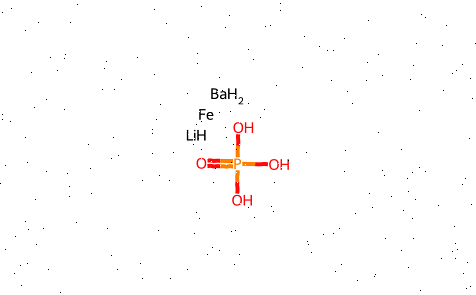 O=P(O)(O)O.[BaH2].[Fe].[LiH]